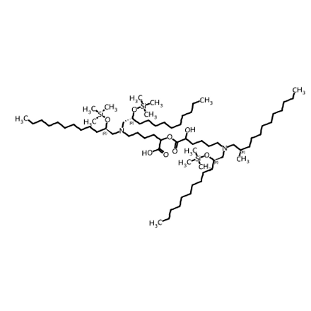 CCCCCCCCCC[C@@H](C)CN(CCCCC(O)C(=O)OC(CCCCN(C[C@@H](CCCCCCCCCC)O[Si](C)(C)C)C[C@@H](CCCCCCCCCC)O[Si](C)(C)C)C(=O)O)C[C@@H](CCCCCCCCCC)O[Si](C)(C)C